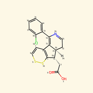 O=C(O)C[C@@H]1C2=C(C=CSS2)C2=C(c3ccccc3Cl)N=CC[C@H]21